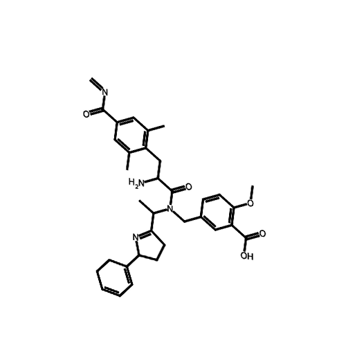 C=NC(=O)c1cc(C)c(CC(N)C(=O)N(Cc2ccc(OC)c(C(=O)O)c2)C(C)C2=NC(C3=CC=CCC3)CC2)c(C)c1